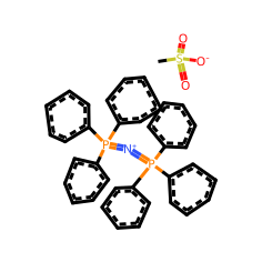 CS(=O)(=O)[O-].c1ccc(P(=[N+]=P(c2ccccc2)(c2ccccc2)c2ccccc2)(c2ccccc2)c2ccccc2)cc1